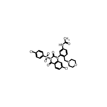 CC(=O)Nc1ccc(CN2CCOCC2)c(-n2c(=O)n(S(=O)(=O)c3ccc(Cl)cc3)c(=O)c3ccc(Cl)cc32)c1